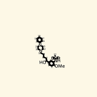 COc1ccc(C(O)CCCCN2CCN(c3ccccc3)CC2)cc1NS(C)(=O)=O